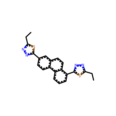 CCc1nnc(-c2ccc3c(ccc4c(-c5nnc(CC)s5)cccc43)c2)s1